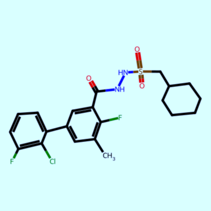 Cc1cc(-c2cccc(F)c2Cl)cc(C(=O)NNS(=O)(=O)CC2CCCCC2)c1F